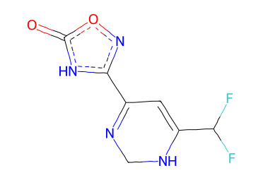 O=c1[nH]c(C2=NCNC(C(F)F)=C2)no1